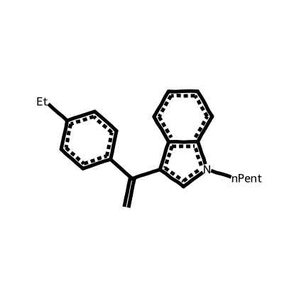 C=C(c1ccc(CC)cc1)c1cn(CCCCC)c2ccccc12